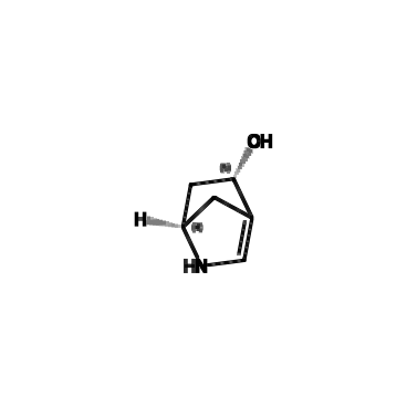 O[C@H]1C[C@H]2CC1=CN2